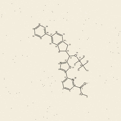 COC(=O)c1cccc(-c2cnc(C(O[Si](C)(C)C(C)(C)C)C3Cc4ccc(-c5ccccc5)cc4C3)o2)n1